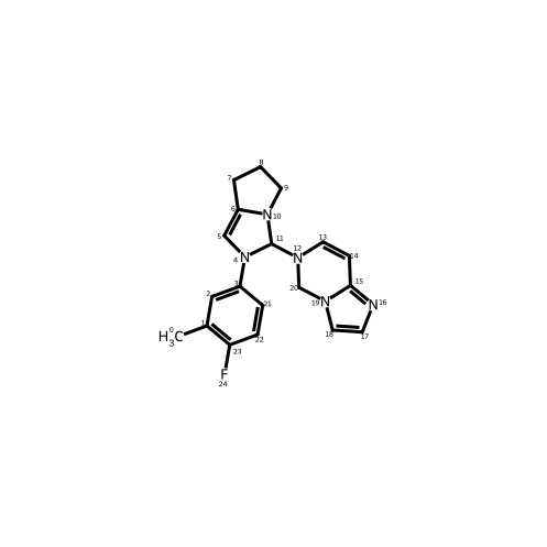 Cc1cc(N2C=C3CCCN3C2N2C=Cc3nccn3C2)ccc1F